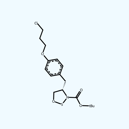 CC(C)(C)OC(=O)N1SOC[C@@H]1Cc1ccc(OCCCCl)cc1